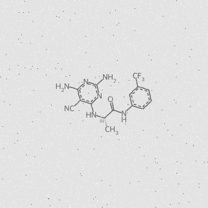 C[C@H](Nc1nc(N)nc(N)c1C#N)C(=O)Nc1cccc(C(F)(F)F)c1